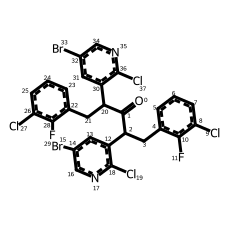 O=C(C(Cc1cccc(Cl)c1F)c1cc(Br)cnc1Cl)C(Cc1cccc(Cl)c1F)c1cc(Br)cnc1Cl